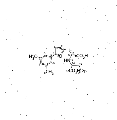 Cc1cc(C)cc(-c2ccc(C[C@H](NC(CC(C)C)C(=O)O)C(=O)O)o2)c1